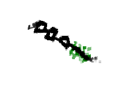 CCC1CCC(c2ccc(-c3ccc(C(F)(F)C(F)(F)C(F)(F)C(F)(F)C(F)(F)F)cc3)cc2)CC1